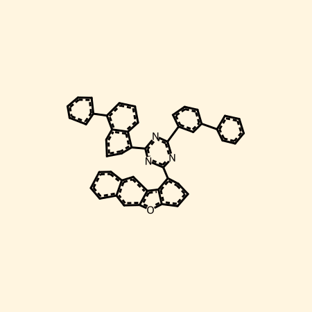 c1ccc(-c2cccc(-c3nc(-c4cccc5c(-c6ccccc6)cccc45)nc(-c4cccc5oc6cc7ccccc7cc6c45)n3)c2)cc1